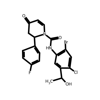 CC(O)c1cc(NC(=O)N2C=CC(=O)CC2c2ccc(F)cc2)c(Br)cc1Cl